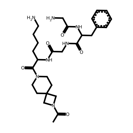 CC(=O)N1CC2(CCN(C(=O)C(CCCCN)NC(=O)CNC(=O)C(Cc3ccccc3)NC(=O)CN)CC2)C1